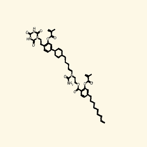 C=C(C)C(=O)Oc1cc(C2CCC(CCCCCN(CCOC(=O)c3ccc(CCCCCCCCC)cc3OC(=O)C(=C)C)C(N)=O)CC2)ccc1CCn1c(=O)[nH]c(=O)[nH]c1=O